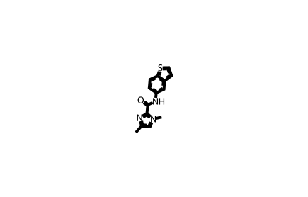 Cc1cn(C)c(C(=O)Nc2ccc3sccc3c2)n1